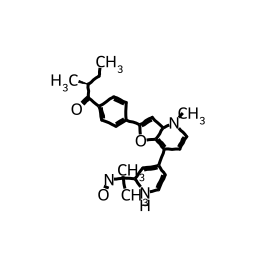 CC[C@H](C)C(=O)c1ccc(C2=CC3C(=C(C4=CC(C(C)(C)N=O)NC=C4)C=CN3C)O2)cc1